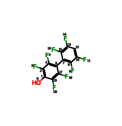 Oc1c(F)c(F)c(-c2c(F)c(F)cc(F)c2F)c(F)c1F